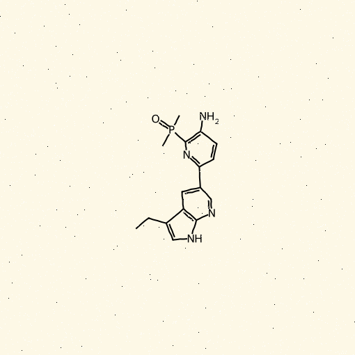 CCc1c[nH]c2ncc(-c3ccc(N)c(P(C)(C)=O)n3)cc12